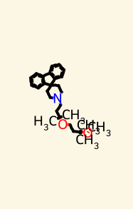 COC(C)(C)CCOC(C)(C)CCN1CCC2(CC1)c1ccccc1-c1ccccc12